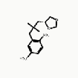 CC(C)(Cc1cc(C(=O)O)ccc1[N+](=O)[O-])C[C@@H]1COCO1